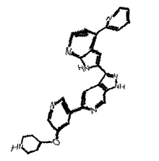 c1ccc(-c2ccnc3[nH]c(-c4n[nH]c5cnc(-c6cncc(OC7CCNCC7)c6)cc45)cc23)nc1